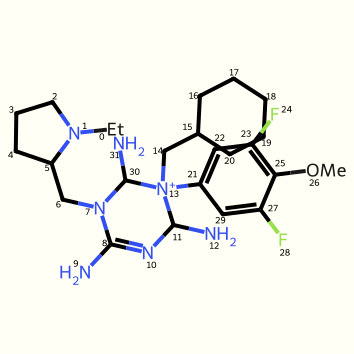 CCN1CCCC1CN1C(N)=NC(N)[N+](CC2CCCCC2)(c2cc(F)c(OC)c(F)c2)C1N